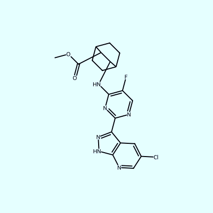 COC(=O)C1C2CCC(CC2)C1Nc1nc(-c2n[nH]c3ncc(Cl)cc23)ncc1F